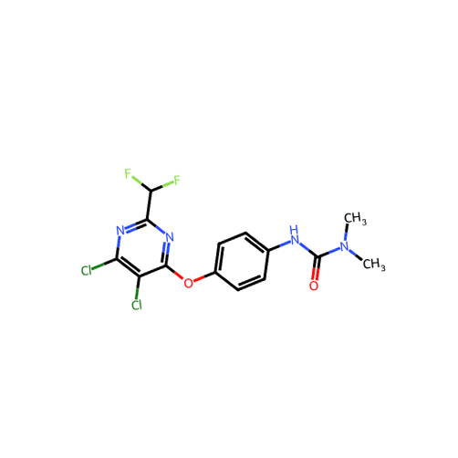 CN(C)C(=O)Nc1ccc(Oc2nc(C(F)F)nc(Cl)c2Cl)cc1